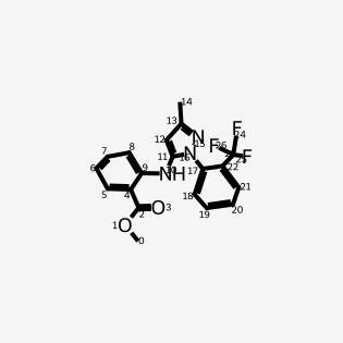 COC(=O)c1ccccc1Nc1cc(C)nn1-c1ccccc1C(F)(F)F